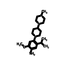 COc1cc(N2CCC(N3CCN(C)CC3)CC2)c(C(C)C)cc1N